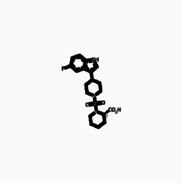 O=C(O)[C@H]1CCCCN1S(=O)(=O)N1CCC(c2c[nH]c3ccc(F)cc23)CC1